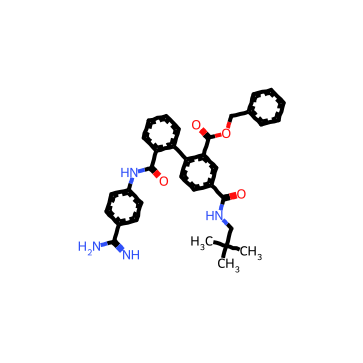 CC(C)(C)CNC(=O)c1ccc(-c2ccccc2C(=O)Nc2ccc(C(=N)N)cc2)c(C(=O)OCc2ccccc2)c1